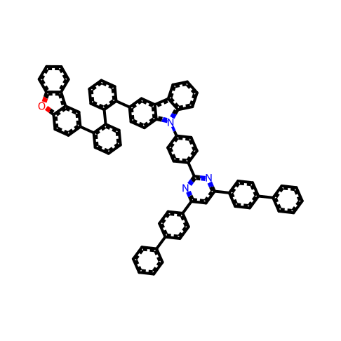 c1ccc(-c2ccc(-c3cc(-c4ccc(-c5ccccc5)cc4)nc(-c4ccc(-n5c6ccccc6c6cc(-c7ccccc7-c7ccccc7-c7ccc8oc9ccccc9c8c7)ccc65)cc4)n3)cc2)cc1